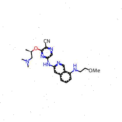 COCCNc1cccc2cc(Nc3cnc(C#N)c(O[C@H](C)CN(C)C)n3)ncc12